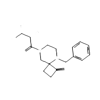 C[C@@H](O)[C@H](N)C(=O)N1CCN(Cc2ccccc2)C2(CCC2=O)C1